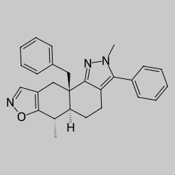 C[C@@H]1c2oncc2C[C@]2(Cc3ccccc3)c3nn(C)c(-c4ccccc4)c3CC[C@@H]12